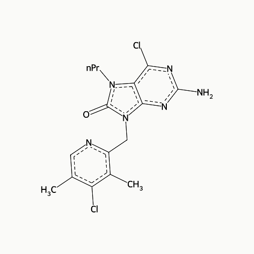 CCCn1c(=O)n(Cc2ncc(C)c(Cl)c2C)c2nc(N)nc(Cl)c21